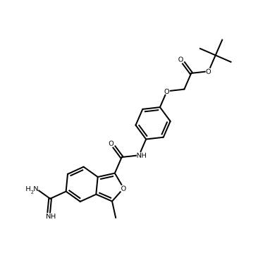 Cc1oc(C(=O)Nc2ccc(OCC(=O)OC(C)(C)C)cc2)c2ccc(C(=N)N)cc12